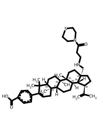 C=C(C)[C@@H]1CC[C@]2(CNCCC(=O)N3CCSCC3)CC[C@]3(C)[C@H](CC[C@@H]4[C@@]5(C)CC=C(c6ccc(C(=O)O)cc6)C(C)(C)[C@@H]5CC[C@]43C)[C@@H]12